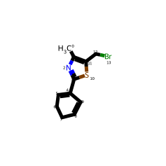 Cc1nc(C2=CCCC=C2)sc1CBr